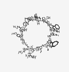 C=CCC[C@H]1C(=O)N(C)[C@@H](CCC=C)C(=O)N[C@@H](CCCNC(=N)N)C(=O)N[C@H](C(=O)NCC(N)=O)CSCC(=O)N[C@@H](Cc2ccc(O)cc2)C(=O)N(C)[C@@H](C)C(=O)N[C@@H](CC(N)=O)C(=O)N2CCC[C@H]2C(=O)N[C@@H](Cc2cnc[nH]2)C(=O)N[C@@H](CC(C)C)C(=O)N2C[C@H](O)C[C@H]2C(=O)N[C@@H](Cc2c[nH]c3ccccc23)C(=O)N[C@@H](CO)C(=O)N[C@@H](Cc2c[nH]c3ccccc23)C(=O)N1C